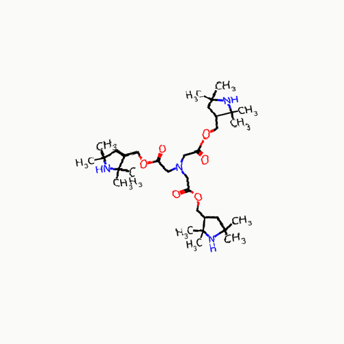 CC1(C)CC(COC(=O)CN(CC(=O)OCC2CC(C)(C)NC2(C)C)CC(=O)OCC2CC(C)(C)NC2(C)C)C(C)(C)N1